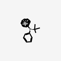 CC(C)(C)[P@@](c1ccccc1)[C]12[CH]3[CH]4[CH]5[CH]1[Fe]45321678[CH]2[CH]1[CH]6[CH]7[CH]28